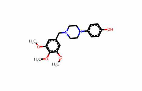 COc1cc(CN2CCN(c3ccc(O)cc3)CC2)cc(OC)c1OC